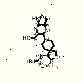 C[C@@H]1OCC2(CCN(c3nc4cn[nH]c4nc3CO)CC2)[C@@H]1N[S+]([O-])C(C)(C)C